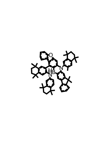 Cc1cc2c(cc1N1c3cc4c(cc3Bc3c1cc1oc5ccccc5c1c3-c1cc3c(cc1Nc1ccc5c(c1)C(C)(C)CCC5(C)C)C(C)(C)CCC3(C)C)-c1ccccc1C4(C)C)C(C)(C)CCC2(C)C